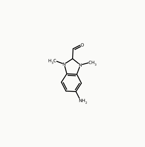 CN1c2ccc(N)cc2N(C)C1C=O